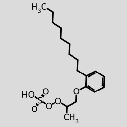 CCCCCCCCCc1ccccc1OCC(C)OOS(=O)(=O)O